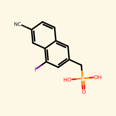 N#Cc1ccc2cc(CP(=O)(O)O)cc(I)c2c1